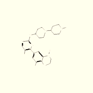 CC(C)N1CCOc2c(F)cc(-c3nc(NC4CCN(C5CCN(C)CC5)CC4)ncc3F)cc21